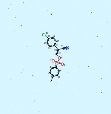 Cc1ccc(S(=O)(=O)O/C=C(\C#N)c2ccc(Cl)cc2)cc1